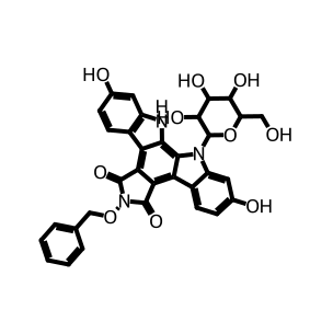 O=C1c2c(c3c4ccc(O)cc4n(C4OC(CO)C(O)C(O)C4O)c3c3[nH]c4cc(O)ccc4c23)C(=O)N1OCc1ccccc1